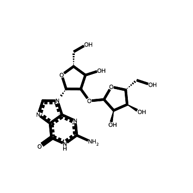 Nc1nc2c(ncn2[C@@H]2O[C@H](CO)C(O)C2OC2O[C@H](CO)[C@@H](O)[C@H]2O)c(=O)[nH]1